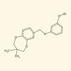 CCOc1cccc(OCc2ccc3c(c2)OCC(C)(C)CO3)c1